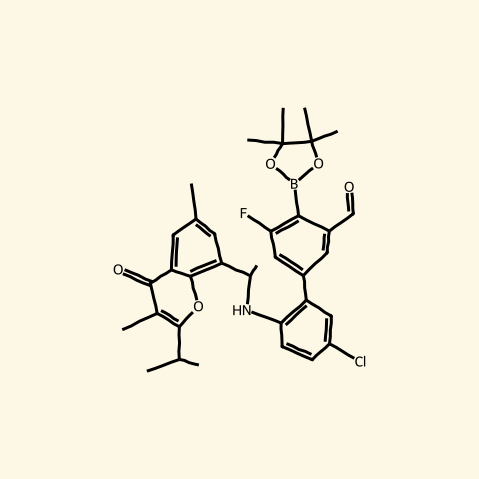 Cc1cc(C(C)Nc2ccc(Cl)cc2-c2cc(F)c(B3OC(C)(C)C(C)(C)O3)c(C=O)c2)c2oc(C(C)C)c(C)c(=O)c2c1